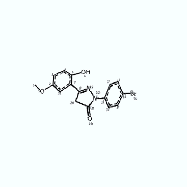 COc1ccc(O)c(C2=NN(c3ccc(Br)cc3)C(=O)C2)c1